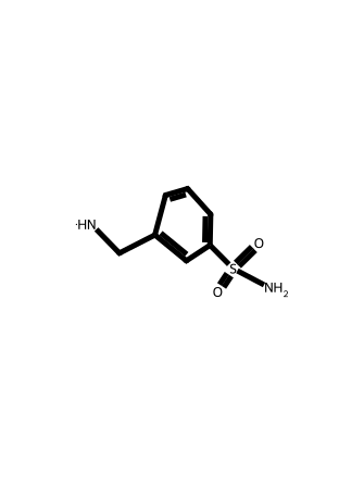 [NH]Cc1cccc(S(N)(=O)=O)c1